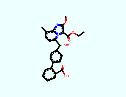 CCOC(=O)c1c(OC)nc2c(C)ccc([C@H](O)c3ccc(-c4ccccc4C(=O)O)cc3)n12